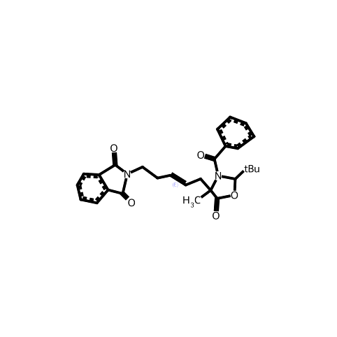 CC(C)(C)C1OC(=O)C(C)(C/C=C/CCN2C(=O)c3ccccc3C2=O)N1C(=O)c1ccccc1